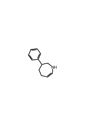 C1=CNCC(c2ccccc2)CC1